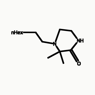 CCCCCCCCN1CCNC(=O)C1(C)C